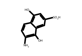 Nc1ccc2c(O)cc(S(=O)(=O)O)cc2c1O